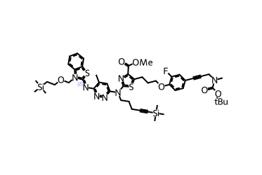 COC(=O)c1nc(N(CCCC#C[Si](C)(C)C)c2cc(C)c(/N=c3\sc4ccccc4n3COCC[Si](C)(C)C)nn2)sc1CCCOc1ccc(C#CCN(C)C(=O)OC(C)(C)C)cc1F